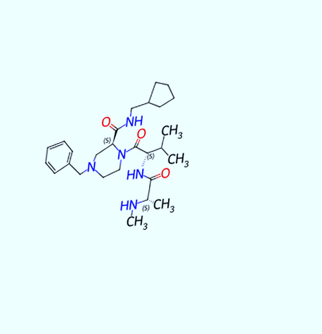 CN[C@@H](C)C(=O)N[C@H](C(=O)N1CCN(Cc2ccccc2)C[C@H]1C(=O)NCC1CCCC1)C(C)C